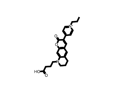 CCC[n+]1ccc(-c2cc3cc4c(cc3oc2=O)N(CCCC(=O)O)CCC4)cc1